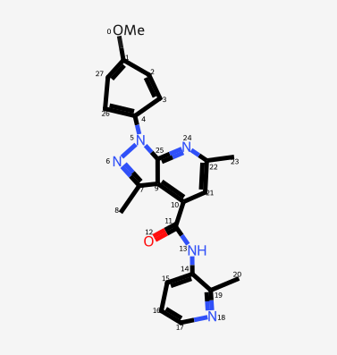 COc1ccc(-n2nc(C)c3c(C(=O)Nc4cccnc4C)cc(C)nc32)cc1